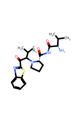 CC(C)C(C(=O)c1nc2ccccc2s1)N1CCC[C@H]1C(=O)NC(=O)[C@@H](N)C(C)C